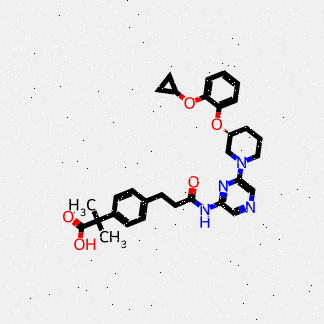 CC(C)(C(=O)O)c1ccc(CCC(=O)Nc2cncc(N3CCC[C@@H](Oc4ccccc4OC4CC4)C3)n2)cc1